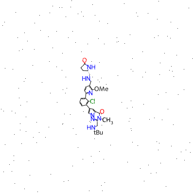 COc1nc(-c2cccc(-c3cc4c(=O)n(C)c(CNC(C)(C)C)nn4c3)c2Cl)ccc1CNC[C@@H]1CCC(=O)N1